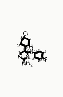 Nc1ncc(-c2ccc(Cl)cc2)c(Nc2ccc(F)cc2)n1